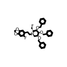 FC[C@@H]1[C@@H](OCc2ccccc2)[C@H](OCc2ccccc2)[C@@H](OCc2ccccc2)CN1CCc1cc2c(cc1F)OCO2